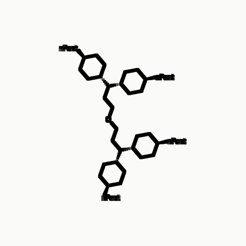 CCCCC[C@H]1CC[C@H](C(CCOCCC([C@H]2CC[C@H](CCCCC)CC2)[C@H]2CC[C@H](CCCCC)CC2)[C@H]2CC[C@H](CCCCC)CC2)CC1